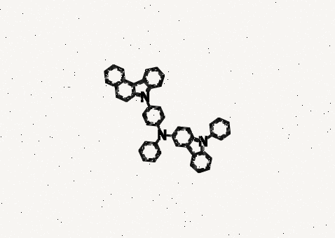 c1ccc(N(c2ccc(-n3c4ccccc4c4c5ccccc5ccc43)cc2)c2ccc3c(c2)c2ccccc2n3-c2ccccc2)cc1